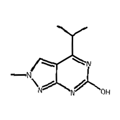 CC(C)c1nc(O)nc2nn(C)cc12